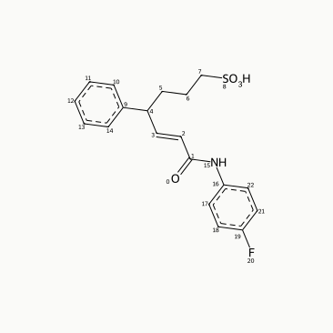 O=C(C=CC(CCCS(=O)(=O)O)c1ccccc1)Nc1ccc(F)cc1